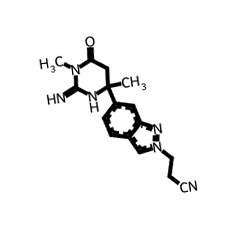 CN1C(=N)NC(C)(c2ccc3cn(CCC#N)nc3c2)CC1=O